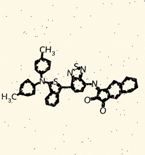 Cc1ccc(N(c2ccc(C)cc2)c2sc(-c3ccc(/N=c4\c(=O)c(=O)c5cc6ccccc6cc45)c4nsnc34)c3ccccc23)cc1